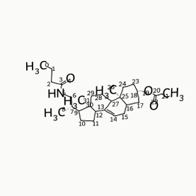 CCCC(=O)NC[C@@H](C)C1CCC2C3=CCC4C[C@@H](OC(C)=O)CC[C@]4(C)C3CC[C@@]21C